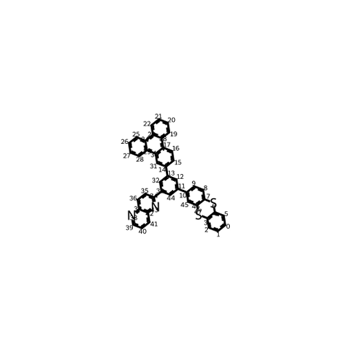 c1ccc2c(c1)Sc1ccc(-c3cc(-c4ccc5c6ccccc6c6ccccc6c5c4)cc(-c4ccc5ncccc5n4)c3)cc1S2